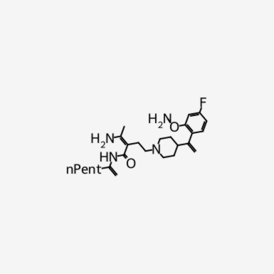 C=C(CCCCC)NC(=O)/C(CCN1CCC(C(=C)c2ccc(F)cc2ON)CC1)=C(/C)N